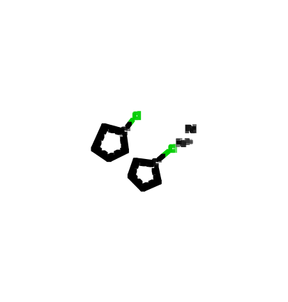 Cl[c-]1cccc1.Cl[c-]1cccc1.[Fe+2].[Pd]